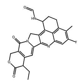 CCC1C(=O)OCc2c1cc1n(c2=O)Cc2c-1nc1cc(F)c(C)c3c1c2C(NC=O)CC3